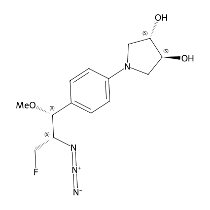 CO[C@H](c1ccc(N2C[C@H](O)[C@@H](O)C2)cc1)[C@@H](CF)N=[N+]=[N-]